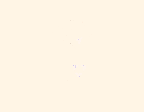 c1ccc(-c2ccc3oc4cccc(-n5c6ccccc6c6cc(-c7nc(-c8ccccc8)nc(-c8ccc9c(c8)oc8ccccc89)n7)ccc65)c4c3c2)cc1